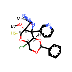 CCO[C@@]1(C(=O)NC)[C@@H](S)O[C@@]2(Cl)COC(c3ccccc3)O[C@@H]2C1(N=[N+]=[N-])c1cccnc1